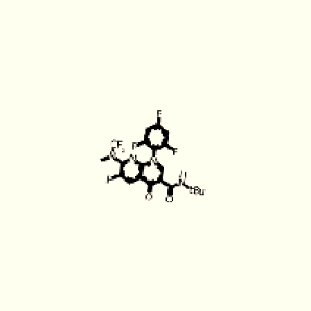 CN(c1nc2c(cc1F)c(=O)c(C(=O)NC(C)(C)C)cn2-c1c(F)cc(F)cc1F)C(F)(F)F